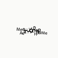 COC(CCc1ccc(C(=O)NCS(=O)(=O)OC)cc1)CC(C)=O